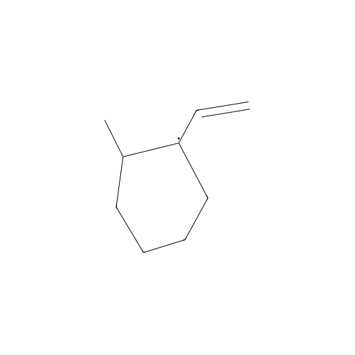 C=C[C]1CCCCC1C